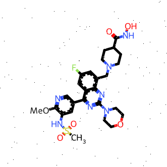 COc1ncc(-c2nc(N3CCOCC3)nc3c(CN4CCC(C(=O)NO)CC4)cc(F)cc23)cc1NS(C)(=O)=O